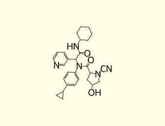 N#CN1CC(O)CC1C(=O)N(c1ccc(C2CC2)cc1)C(C(=O)NC1CCCCC1)c1cccnc1